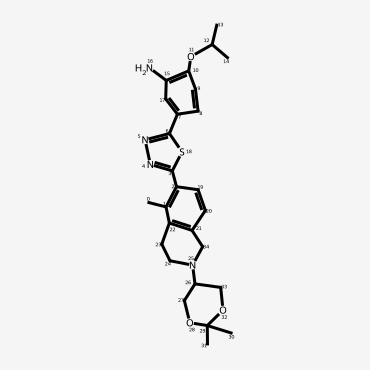 Cc1c(-c2nnc(-c3ccc(OC(C)C)c(N)c3)s2)ccc2c1CCN(C1COC(C)(C)OC1)C2